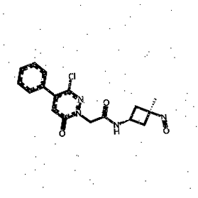 C[C@]1(N=O)C[C@@H](NC(=O)Cn2nc(Cl)c(-c3ccccc3)cc2=O)C1